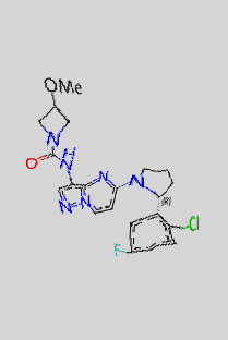 COC1CN(C(=O)Nc2cnn3ccc(N4CCC[C@@H]4c4cc(F)ccc4Cl)nc23)C1